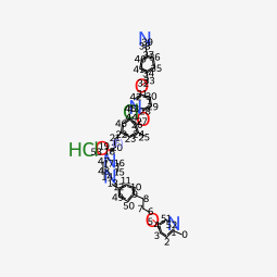 Cc1ccc(OCCCc2ccc(CN3CCN(C(=O)/C=C/c4cc(C)c(Oc5ccc(OCc6ccc(C#N)cc6)cn5)c(Cl)c4)CC3)cc2)cn1.Cl